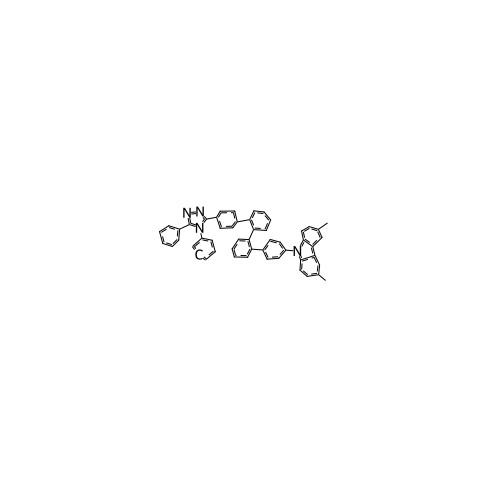 Cc1ccc2c(c1)c1cc(C)ccc1n2-c1ccc(-c2ccccc2-c2ccccc2-c2ccc(-c3nnc(-c4ccccc4)n3-c3ccccc3)cc2)cc1